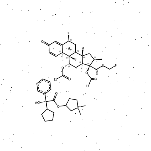 CCC(=O)O[C@H]1C[C@@]2(C)[C@@H](C[C@@H](C)[C@]2(OC(=O)CC)C(=O)SCF)[C@@H]2C[C@H](F)C3=CC(=O)C=C[C@]3(C)[C@@]12F.C[N+]1(C)CCC(OC(=O)C(O)(c2ccccc2)C2CCCC2)C1